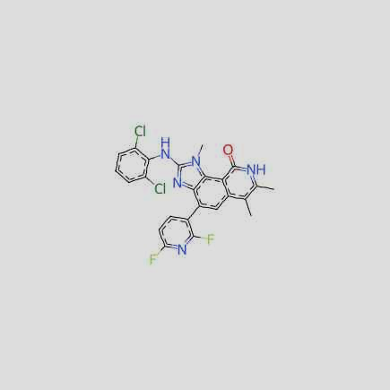 Cc1[nH]c(=O)c2c(cc(-c3ccc(F)nc3F)c3nc(Nc4c(Cl)cccc4Cl)n(C)c32)c1C